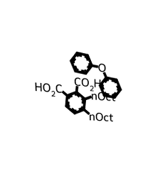 CCCCCCCCc1ccc(C(=O)O)c(C(=O)O)c1CCCCCCCC.c1ccc(Oc2ccccc2)cc1